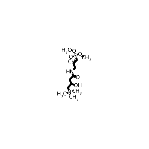 CO[Si](CCCNC(=O)CC(O)C[N+](C)(C)C)(OC)OC